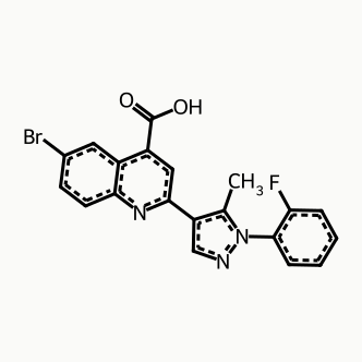 Cc1c(-c2cc(C(=O)O)c3cc(Br)ccc3n2)cnn1-c1ccccc1F